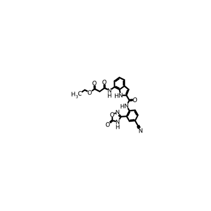 CCOC(=O)CC(=O)Nc1cccc2cc(C(=O)Nc3ccc(C#N)cc3-c3noc(=O)[nH]3)[nH]c12